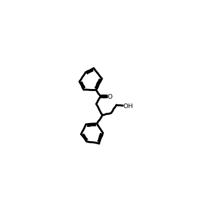 O=C(CC(CCO)c1ccccc1)c1ccccc1